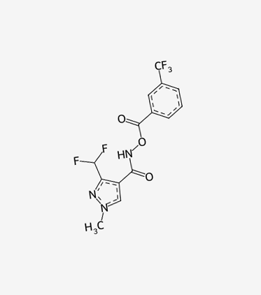 Cn1cc(C(=O)NOC(=O)c2cccc(C(F)(F)F)c2)c(C(F)F)n1